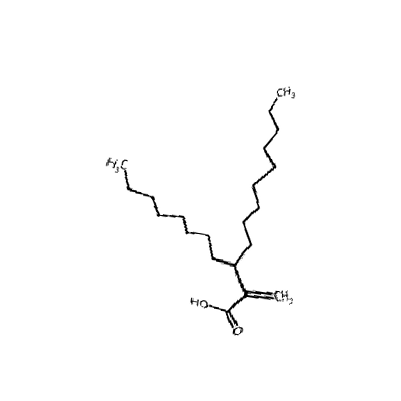 C=C(C(=O)O)C(CCCCCCCC)CCCCCCCCC